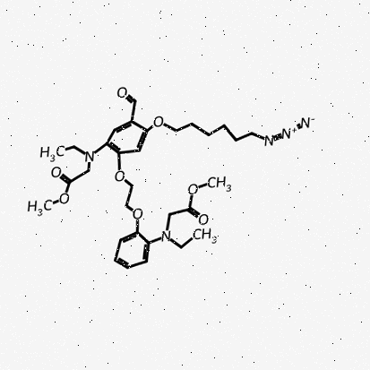 CCN(CC(=O)OC)c1ccccc1OCCOc1cc(OCCCCCCN=[N+]=[N-])c(C=O)cc1N(CC)CC(=O)OC